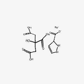 O=C(O)CC(O)(CC(=O)O)C(=O)O.O=C([O-])C1C=C[IH][IH]1.[Na+]